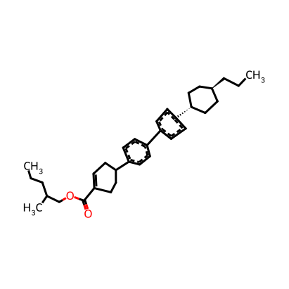 CCCC(C)COC(=O)C1=CCC(c2ccc(-c3ccc([C@H]4CC[C@H](CCC)CC4)cc3)cc2)CC1